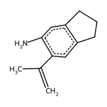 C=C(C)c1cc2c(cc1N)CCC2